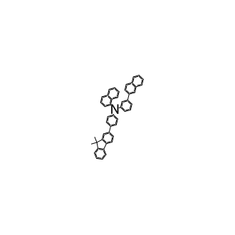 CC1(C)c2ccccc2-c2ccc(-c3ccc(N(c4cccc(-c5ccc6ccccc6c5)c4)c4cccc5ccccc45)cc3)cc21